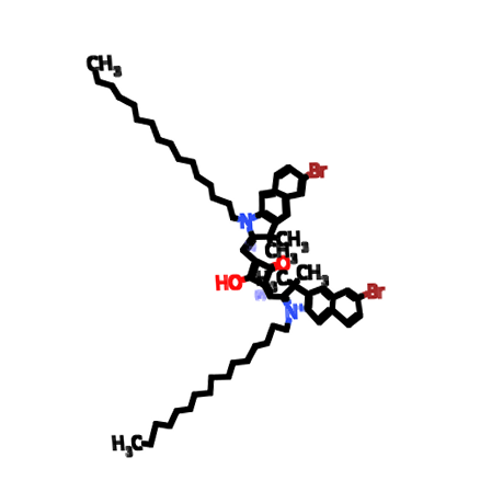 CCCCCCCCCCCCCCCCN1/C(=C/C2=C(O)C(=C/C3=[N+](CCCCCCCCCCCCCCCC)c4cc5ccc(Br)cc5cc4C3(C)C)/C2=O)C(C)(C)c2cc3cc(Br)ccc3cc21